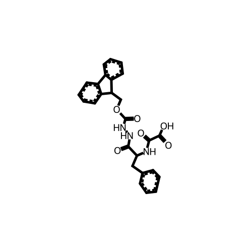 O=C(NNC(=O)C(Cc1ccccc1)NC(=O)C(=O)O)OCC1c2ccccc2-c2ccccc21